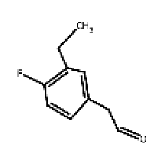 CCc1cc(CC=O)ccc1F